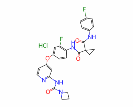 Cl.O=C(Nc1cc(Oc2ccc(NC(=O)C3(C(=O)Nc4ccc(F)cc4)CC3)c(F)c2)ccn1)N1CCC1